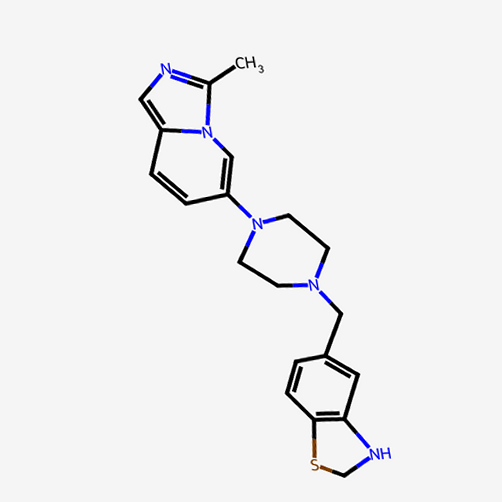 Cc1ncc2ccc(N3CCN(Cc4ccc5c(c4)NCS5)CC3)cn12